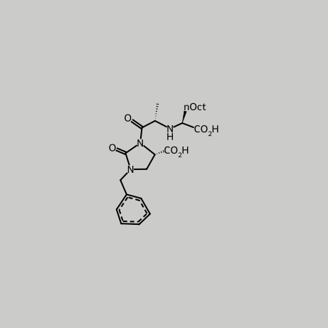 CCCCCCCC[C@H](N[C@@H](C)C(=O)N1C(=O)N(Cc2ccccc2)C[C@H]1C(=O)O)C(=O)O